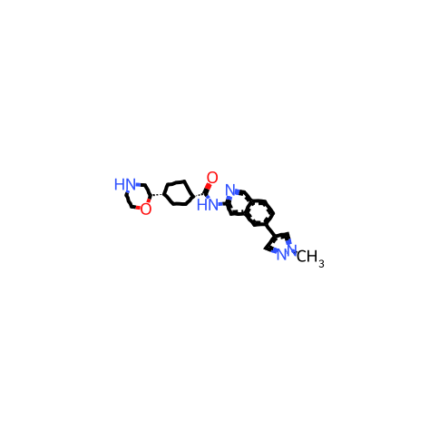 Cn1cc(-c2ccc3cnc(NC(=O)[C@H]4CC[C@@H](C5CNCCO5)CC4)cc3c2)cn1